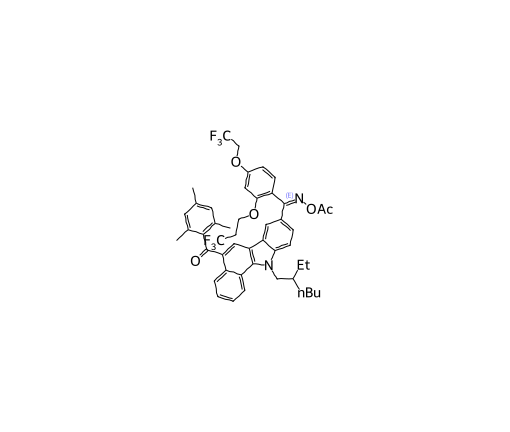 CCCCC(CC)Cn1c2ccc(/C(=N\OC(C)=O)c3ccc(OCC(F)(F)F)cc3OCCC(F)(F)F)cc2c2cc(C(=O)c3c(C)cc(C)cc3C)c3ccccc3c21